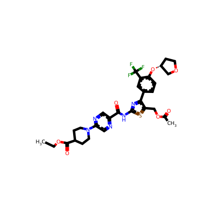 CCOC(=O)C1CCN(c2cnc(C(=O)Nc3nc(-c4ccc(O[C@@H]5CCOC5)c(C(F)(F)F)c4)c(COC(C)=O)s3)cn2)CC1